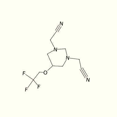 N#CCN1CC(OCC(F)(F)F)CN(CC#N)C1